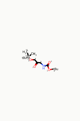 CC(C)(C)OC(=O)NCC(=O)CO[Si](C)(C)C(C)(C)C